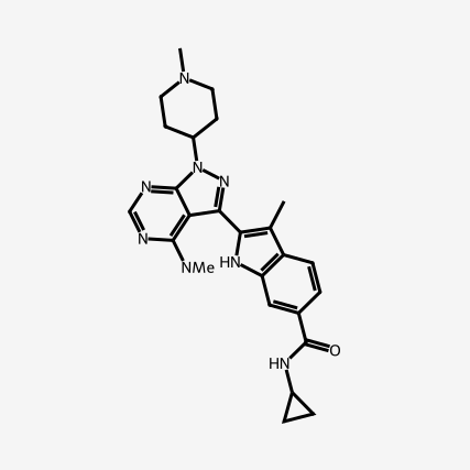 CNc1ncnc2c1c(-c1[nH]c3cc(C(=O)NC4CC4)ccc3c1C)nn2C1CCN(C)CC1